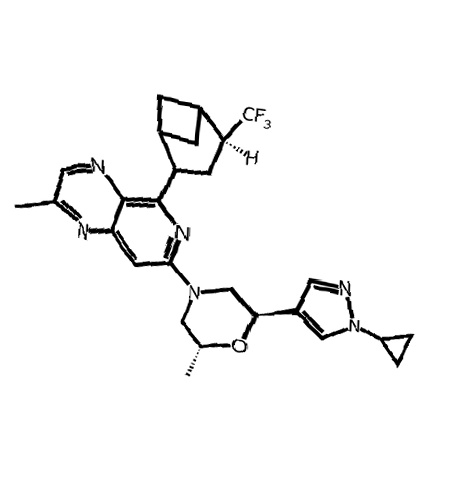 Cc1cnc2c(C3C[C@H](C(F)(F)F)C4CC3C4)nc(N3C[C@@H](C)O[C@H](c4cnn(C5CC5)c4)C3)cc2n1